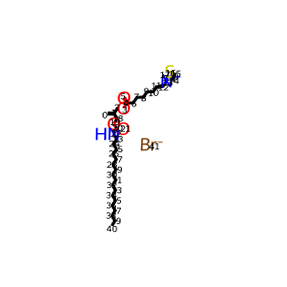 C=C(COC(=O)CCCCCCC[n+]1ccsc1)COC(=O)NCCCCCCCCCCCCCCCCCC.[Br-]